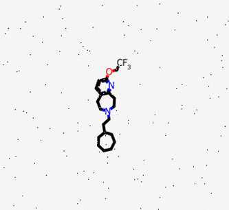 FC(F)(F)COc1ccc2c(n1)CCN(CCC1CCCCCC1)CC2